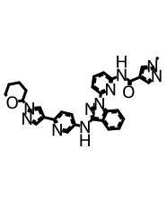 Cn1cc(C(=O)Nc2cccc(-n3nc(Nc4ccc(-c5cnn(C6CCCCO6)c5)nc4)c4ccccc43)n2)cn1